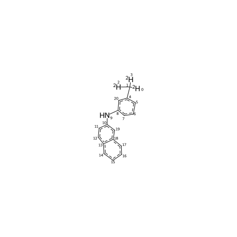 [2H]C([2H])([2H])c1cccc(Nc2ccc3ccccc3c2)c1